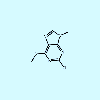 CSc1nc(Cl)nc2c1ncn2C